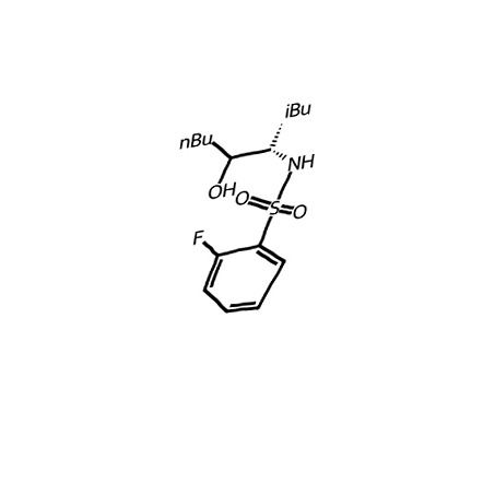 CCCCC(O)[C@@H](NS(=O)(=O)c1ccccc1F)[C@@H](C)CC